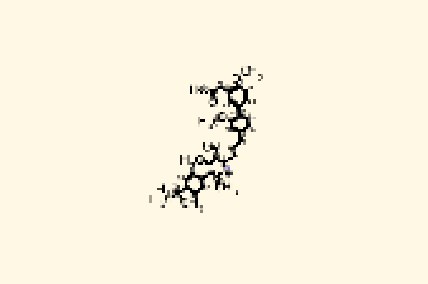 CCN(C=O)/C(CCCc1ccc(-c2ccc(OC)c(CC(=O)O)c2)c(OC)c1)=N\N(C)Cc1ccc(C(C)(C)C)cc1